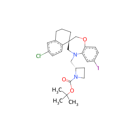 CC(C)(C)OC(=O)N1CC[C@H]1CN1C[C@@]2(CCCc3cc(Cl)ccc32)COc2ccc(I)cc21